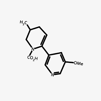 COc1cncc(C2=CCC(C)CN2C(=O)O)c1